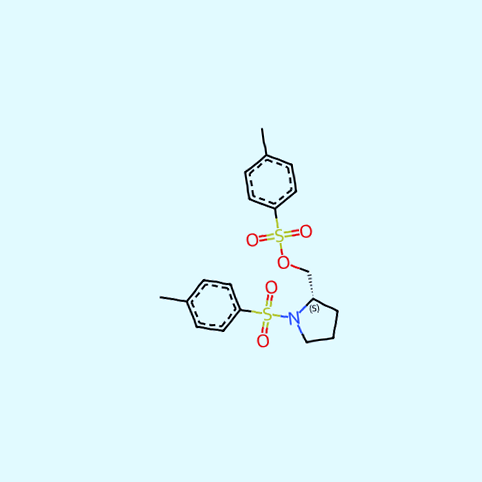 Cc1ccc(S(=O)(=O)OC[C@@H]2CCCN2S(=O)(=O)c2ccc(C)cc2)cc1